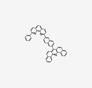 c1ccc(-c2ccc3ccc4ccc(-c5ccc6cc(-c7c8ccc9ccccc9c8nc8c7ccc7ccccc78)ccc6c5)nc4c3n2)cc1